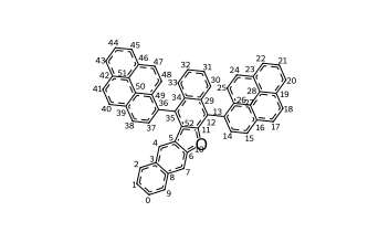 c1ccc2cc3c(cc2c1)oc1c(-c2ccc4ccc5cccc6ccc2c4c56)c2ccccc2c(-c2ccc4ccc5cccc6ccc2c4c56)c13